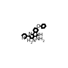 N=C(N)c1c(N)cc(-c2cccnc2)nc1-c1ccc(Oc2ccccc2)cc1